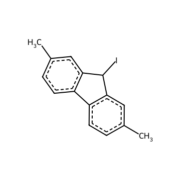 Cc1ccc2c(c1)C(I)c1cc(C)ccc1-2